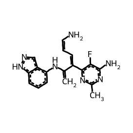 C=C(Nc1cccc2[nH]ncc12)/C(=C\C=C/N)c1nc(C)nc(N)c1F